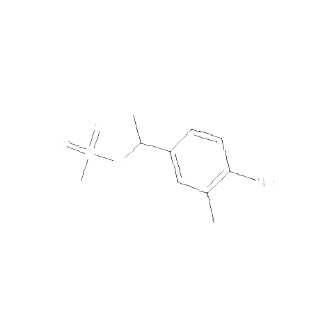 Cc1cc(C(C)OS(C)(=O)=O)ccc1[N+](=O)[O-]